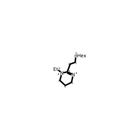 CCCCCCCCC1=NCCCN1CC